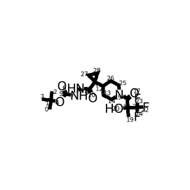 CC(C)(C)OC(=O)NNC(=O)C1(C2CCN(C(=O)C(C)(O)C(F)(F)F)CC2)CC1